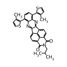 Cc1ccsc1-c1ccc(-c2sccc2C)c2nc3c(nc12)-c1ccc2c4c(ccc-3c14)C(=O)N(CC(C)C)C2=O